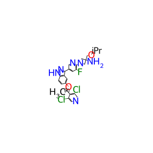 CC(C)OCC1(N)CN(c2ncc(-c3n[nH]c4ccc(O[C@H](C)c5c(Cl)cncc5Cl)cc34)cc2F)C1